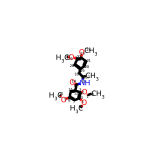 CCOc1c(OC)cc(OC)cc1C(=O)NC(C)Cc1ccc(OC)c(OC)c1